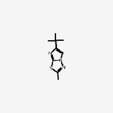 Cc1nn2cc(C(C)(C)C)nc2s1